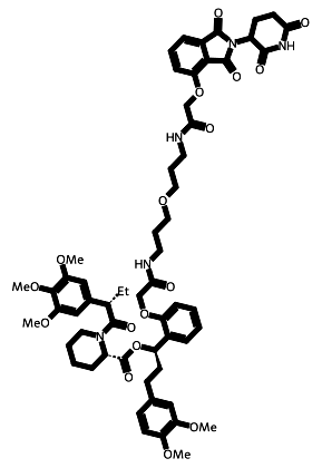 CC[C@H](C(=O)N1CCCC[C@H]1C(=O)O[C@H](CCc1ccc(OC)c(OC)c1)c1ccccc1OCC(=O)NCCCOCCCNC(=O)COc1cccc2c1C(=O)N(C1CCC(=O)NC1=O)C2=O)c1cc(OC)c(OC)c(OC)c1